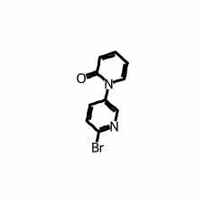 O=c1ccccn1-c1ccc(Br)nc1